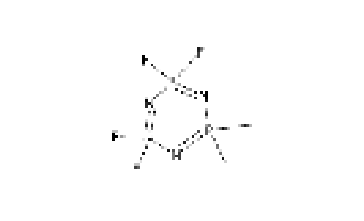 CP1(C)=NP(F)(F)=NP(F)(F)=N1